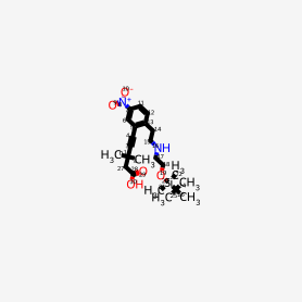 CC(C)(C#Cc1cc([N+](=O)[O-])ccc1CCNCCO[Si](C)(C)C(C)(C)C)CC(=O)O